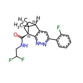 CC1(C)[C@@H]2CC[C@@]1(C(=O)NCC(F)F)c1nnc(-c3ccccc3F)cc12